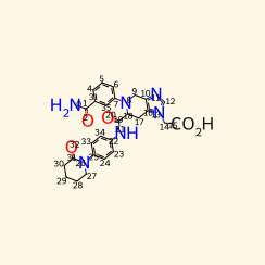 NC(=O)c1cccc(N2Cc3ncn(CC(=O)O)c3CC2C(=O)Nc2ccc(N3CCCCC3=O)cc2)c1